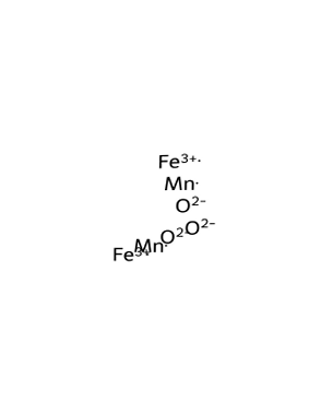 [Fe+3].[Fe+3].[Mn].[Mn].[O-2].[O-2].[O-2]